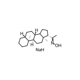 CC(=NO)[C@H]1CCC2[C@H]3CC[C@H]4CCCC[C@]4(C)[C@@H]3CC[C@@]21C.[NaH]